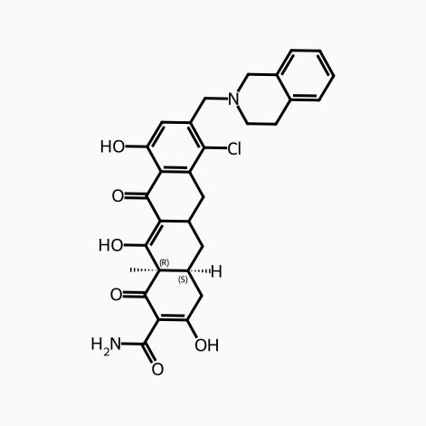 C[C@@]12C(=O)C(C(N)=O)=C(O)C[C@@H]1CC1Cc3c(Cl)c(CN4CCc5ccccc5C4)cc(O)c3C(=O)C1=C2O